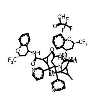 CCC(c1cccnc1)(C1C(C)C1C(=O)N[C@H]1C[C@H](C(F)(F)F)Oc2ccccc21)C1(C(CC)(c2cccnc2)C2C(C)C2C(=O)N[C@H]2C[C@H](C(F)(F)F)Oc3ccccc32)CC(=O)NC(=N)N1.O=C(O)C(F)(F)F